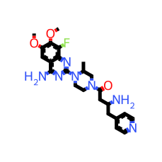 COc1cc2c(N)nc(N3CCN(C(=O)CC(N)Cc4ccncc4)CC3C)nc2c(F)c1OC